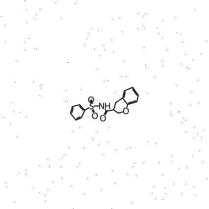 O=C(NS(=O)(=O)c1ccccc1)C1COc2ccccc2C1